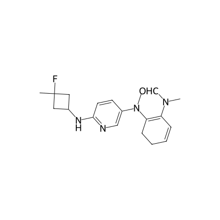 CN(C=O)C1=C(N(C)c2ccc(NC3CC(C)(F)C3)nc2)CCC=C1